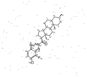 C[C@H]1CC[C@@]2(C)C(CCC3C2CC[C@@]2(C)C3CC[C@@H]2C(=O)N/N=C2\C(=N)C=CC(Cl)=C2F)C1